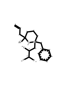 C=CCC1(C(C)C)CCC[Si](Cc2ccccc2)(CC(F)C(F)F)O1